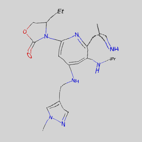 CCC1COC(=O)N1c1cc(NCc2cnn(C)c2)c(NC(C)C)c(C(C)=N)n1